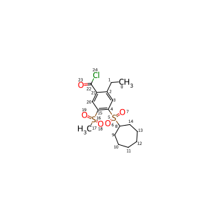 CCc1cc(S(=O)(=O)C2CCCCCC2)c(S(C)(=O)=O)cc1C(=O)Cl